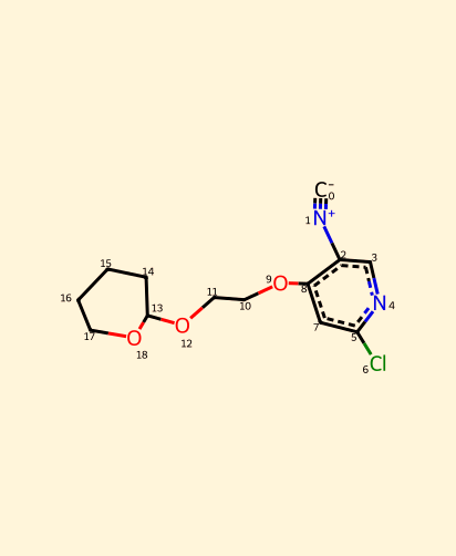 [C-]#[N+]c1cnc(Cl)cc1OCCOC1CCCCO1